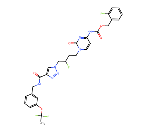 CC(F)(F)Oc1cccc(CNC(=O)c2cn(CC(F)CCn3ccc(NC(=O)OCc4ccccc4F)nc3=O)nn2)c1